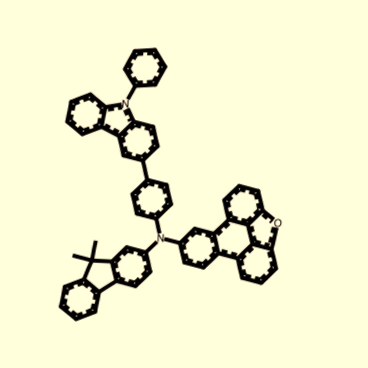 CC1(C)c2ccccc2-c2ccc(N(c3ccc(-c4ccc5c(c4)c4ccccc4n5-c4ccccc4)cc3)c3ccc4c(c3)c3cccc5oc6cccc4c6c53)cc21